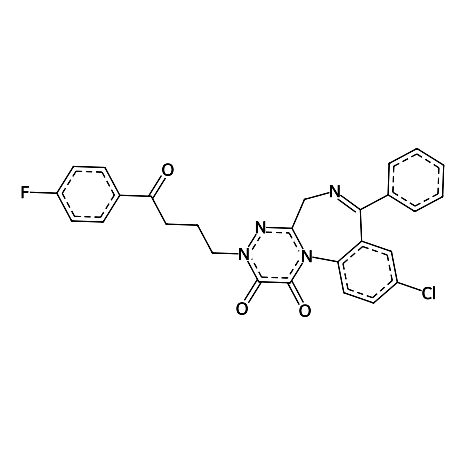 O=C(CCCn1nc2n(c(=O)c1=O)-c1ccc(Cl)cc1C(c1ccccc1)=NC2)c1ccc(F)cc1